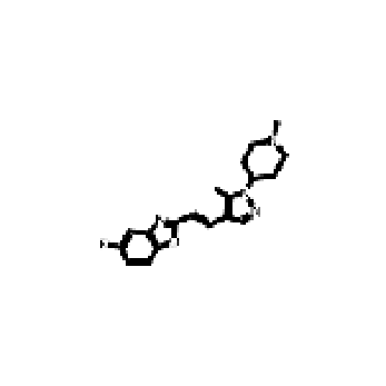 Cc1c(C=Cc2nc3cc(F)ccc3o2)cnn1C1CCN(C)CC1